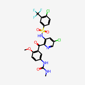 CNC(=O)Nc1ccc(OC)c(C(=O)c2ncc(Cl)cc2NS(=O)(=O)c2ccc(Cl)c(C(F)(F)F)c2)c1